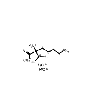 COC(=O)C(N)(CCCCN)C(F)F.Cl.Cl